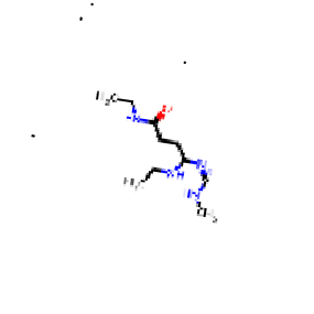 CCNC(=O)CCC(/N=C\NC)NCC